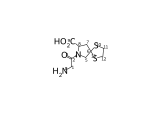 NCC(=O)N1CC2(CC1C(=O)O)SCCS2